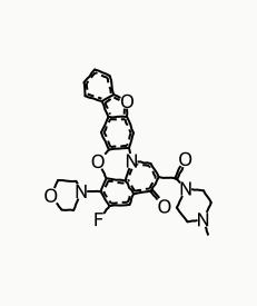 CN1CCN(C(=O)c2cn3c4c(c(N5CCOCC5)c(F)cc4c2=O)Oc2cc4c(cc2-3)oc2ccccc24)CC1